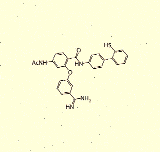 CC(=O)Nc1ccc(C(=O)Nc2ccc(-c3ccccc3S)cc2)c(Oc2cccc(C(=N)N)c2)c1